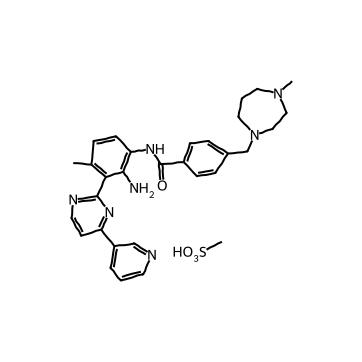 CS(=O)(=O)O.Cc1ccc(NC(=O)c2ccc(CN3CCCN(C)CC3)cc2)c(N)c1-c1nccc(-c2cccnc2)n1